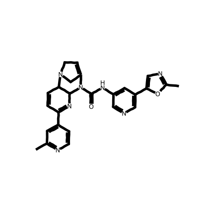 Cc1cc(C2=NC3C(C=C2)N2CC=C(C2)N3C(=O)Nc2cncc(-c3cnc(C)o3)c2)ccn1